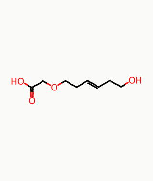 O=C(O)COCCC=CCCO